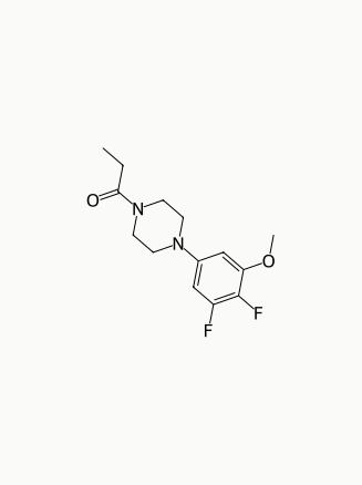 CCC(=O)N1CCN(c2cc(F)c(F)c(OC)c2)CC1